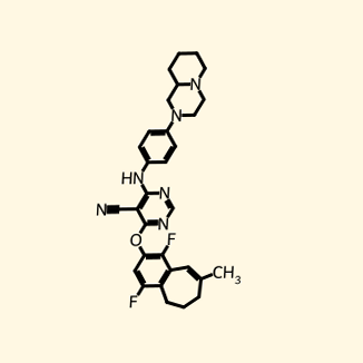 CC1=Cc2c(F)c(Oc3ncnc(Nc4ccc(N5CCN6CCCCC6C5)cc4)c3C#N)cc(F)c2CCC1